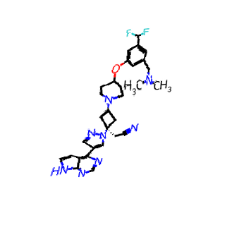 CN(C)Cc1cc(OC2CCN([C@H]3C[C@@](CC#N)(n4cc(-c5ncnc6[nH]ccc56)cn4)C3)CC2)cc(C(F)F)c1